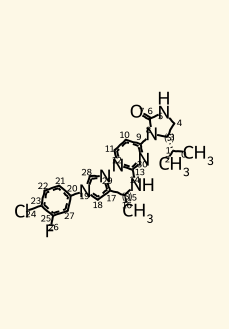 CC(C)[C@H]1CNC(=O)N1c1ccnc(N[C@@H](C)c2cn(-c3ccc(Cl)c(F)c3)cn2)n1